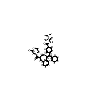 CN(C)S(=O)(=O)NC(=O)c1ccc2c(C3CCCCC3)c3n(c2c1)CC(C(=O)N1CCNC(=O)C1)=Cc1ccccc1-3